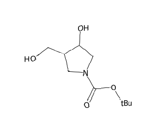 CC(C)(C)OC(=O)N1CC(O)C(CO)C1